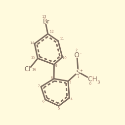 C[S+]([O-])c1ccccc1-c1ccc(Br)cc1Cl